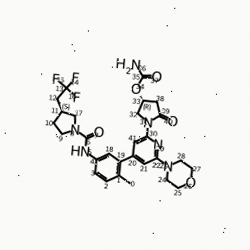 Cc1ccc(NC(=O)N2CC[C@@H](CC(F)(F)F)C2)cc1-c1cc(N2CCOCC2)nc(N2C[C@H](OC(N)=O)CC2=O)c1